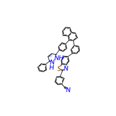 N#Cc1cccc(-c2nc3cc(-c4cccc(-c5ccc6ccccc6c5-c5ccc(C(=N)/C=C\C(=N)c6ccccc6)cc5)c4)ccc3s2)c1